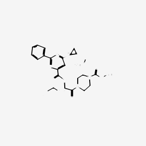 CCCCOC(=O)N1CCN(C(=O)[C@H](CCC(=O)O)NC(=O)c2cc([C@H]3C[C@@H]3COC)nc(-c3ccccc3)n2)CC1